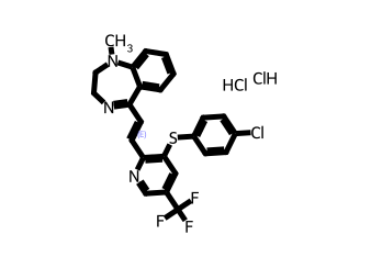 CN1CCN=C(/C=C/c2ncc(C(F)(F)F)cc2Sc2ccc(Cl)cc2)c2ccccc21.Cl.Cl